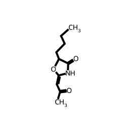 CCCCC1O/C(=C/C(C)=O)NC1=O